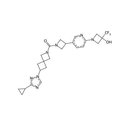 O=C(N1CC(c2ccc(N3CC(O)(C(F)(F)F)C3)nc2)C1)N1CC2(CC(n3cnc(C4CC4)n3)C2)C1